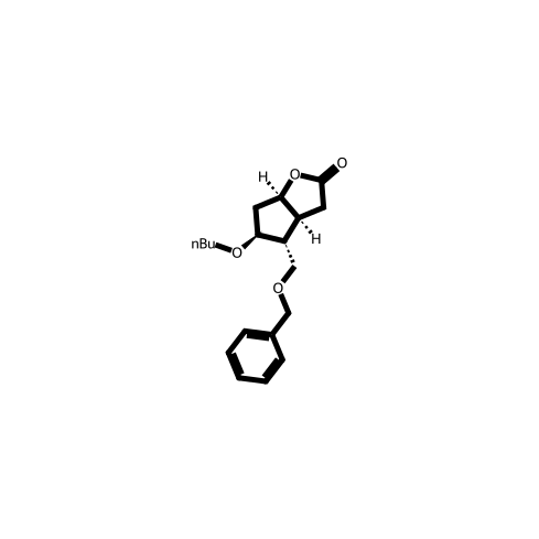 CCCCO[C@H]1C[C@H]2OC(=O)C[C@H]2[C@@H]1COCc1ccccc1